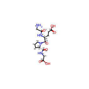 NCC(=O)N[C@@H](CCC(=O)O)C(=O)N1CCC[C@H]1C(=O)NCC(=O)O